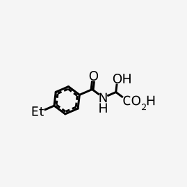 CCc1ccc(C(=O)NC(O)C(=O)O)cc1